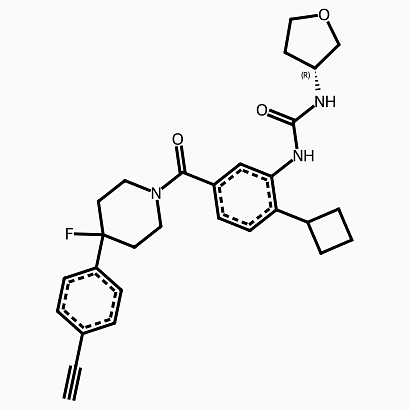 C#Cc1ccc(C2(F)CCN(C(=O)c3ccc(C4CCC4)c(NC(=O)N[C@@H]4CCOC4)c3)CC2)cc1